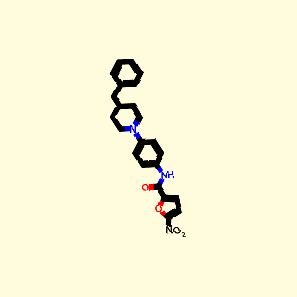 O=C(Nc1ccc(N2CCC(Cc3ccccc3)CC2)cc1)c1ccc([N+](=O)[O-])o1